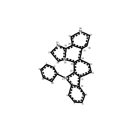 c1ccc(-n2c3ccccc3c3ccc4c5ccncc5c5nccn5c4c32)cc1